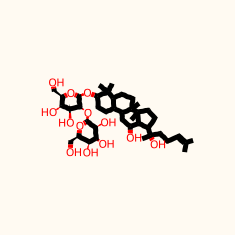 CC(C)=CCCC(C)(O)C1CCC2(C)C1C(O)CC1C3CCC(O[C@@H]4O[C@H](CO)[C@@H](O)[C@H](O)[C@H]4O[C@@H]4O[C@H](CO)[C@@H](O)[C@H](O)[C@H]4O)C(C)(C)C3CCC12C